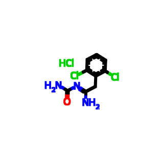 Cl.NC(=O)N=C(N)Cc1c(Cl)cccc1Cl